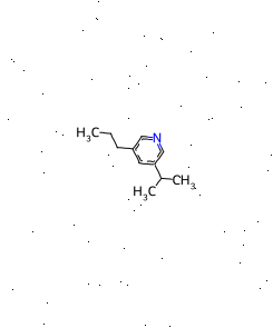 CCCc1cncc(C(C)C)c1